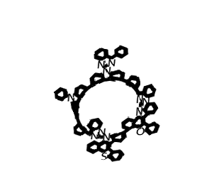 c1ccc(-c2nc(-n3c4ccc5cc4c4cc(ccc43)-c3ccc4c(c3)c3ccc(cc3n4-c3ccccc3)-c3cccc(c3)-c3nc(nc4ccccc34)-n3c4cc(ccc4c4c6c7ccccc7sc6c6ccccc6c43)-c3cccc4c3c3oc6ccccc6c3c3c6ccccc6n(c43)-c3nc(c4ccccc4n3)-c3cccc-5c3)nc3ccccc23)cc1